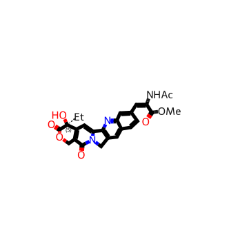 CC[C@@]1(O)C(=O)OCc2c1cc1n(c2=O)Cc2cc3ccc(C=C(NC(C)=O)C(=O)OC)cc3nc2-1